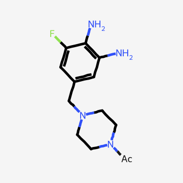 CC(=O)N1CCN(Cc2cc(N)c(N)c(F)c2)CC1